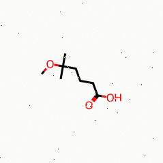 COC(C)(C)CCCC(=O)O